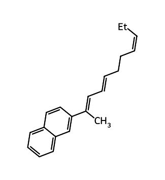 CC/C=C\CC/C=C/C=C(\C)c1ccc2ccccc2c1